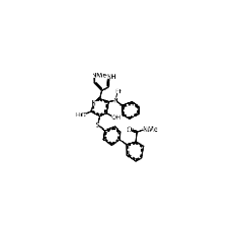 CCN(c1ccccc1)c1c(/C(C=N)=C/NC)nc(O)c(Sc2ccc(-c3ccccc3C(=O)NC)cc2)c1O